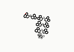 C1=CC(OC2C=Cc3cccc4cccc2c34)c2cccc3cccc1c23.C1=CC(OC2C=Cc3cccc4cccc2c34)c2cccc3cccc1c23.C1=CC(OC2C=Cc3cccc4cccc2c34)c2cccc3cccc1c23.C1=CC(OC2C=Cc3cccc4cccc2c34)c2cccc3cccc1c23.O=C([SH](=O)=O)[SH](=O)=O